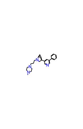 CN1CCN(CCCN2CC(c3cncc(-c4ccccc4)c3)=C3C=C32)CC1